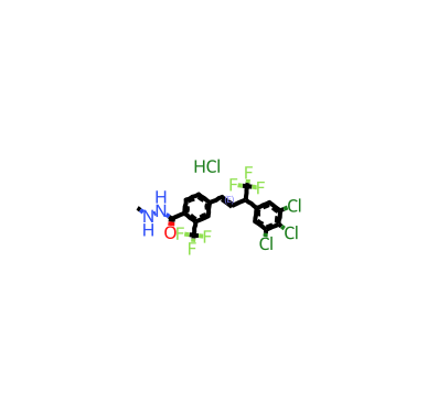 CNNC(=O)c1ccc(/C=C/C(c2cc(Cl)c(Cl)c(Cl)c2)C(F)(F)F)cc1C(F)(F)F.Cl